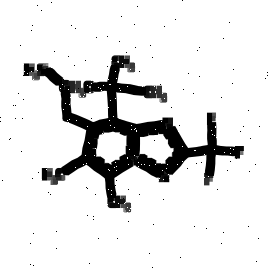 Cc1c(CO[SiH3])c(C(C)(C)C)c2nc(C(F)(F)F)nn2c1C